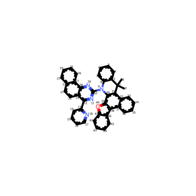 CC1(C)c2ccccc2N(c2nc(-c3ccccn3)c3ccc4ccccc4c3n2)c2c1c1ccccc1c1c2oc2ccccc21